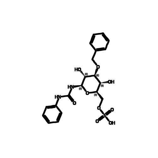 O=C(Nc1ccccc1)N[C@@H]1O[C@H](COS(=O)(=O)O)[C@@H](O)[C@H](OCc2ccccc2)[C@H]1O